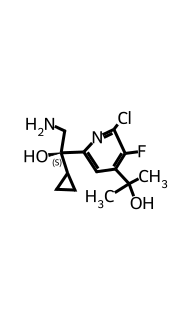 CC(C)(O)c1cc([C@@](O)(CN)C2CC2)nc(Cl)c1F